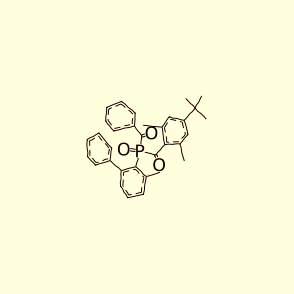 Cc1cc(C(C)(C)C)cc(C)c1C(=O)P(=O)(C(=O)c1ccccc1)c1c(C)cccc1-c1ccccc1